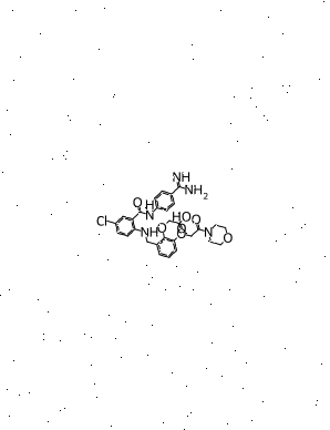 N=C(N)c1ccc(NC(=O)c2cc(Cl)ccc2NCc2cccc(OCC(=O)N3CCOCC3)c2OCC(=O)O)cc1